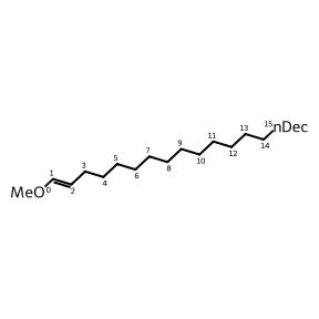 [CH2]OC=CCCCCCCCCCCCCCCCCCCCCCC